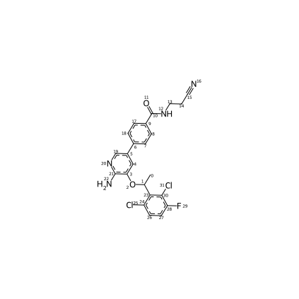 CC(Oc1cc(-c2ccc(C(=O)NCCC#N)cc2)cnc1N)c1c(Cl)ccc(F)c1Cl